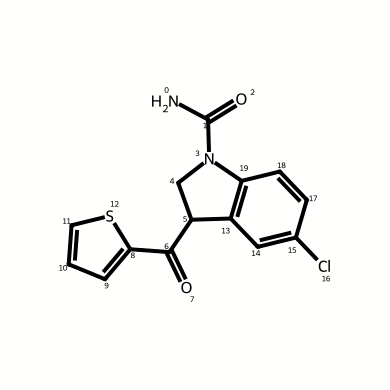 NC(=O)N1CC(C(=O)c2cccs2)c2cc(Cl)ccc21